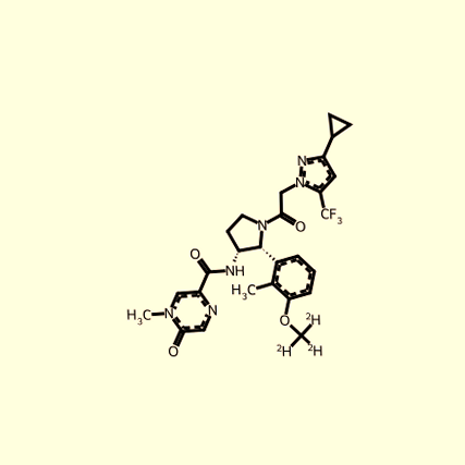 [2H]C([2H])([2H])Oc1cccc([C@@H]2[C@H](NC(=O)c3cn(C)c(=O)cn3)CCN2C(=O)Cn2nc(C3CC3)cc2C(F)(F)F)c1C